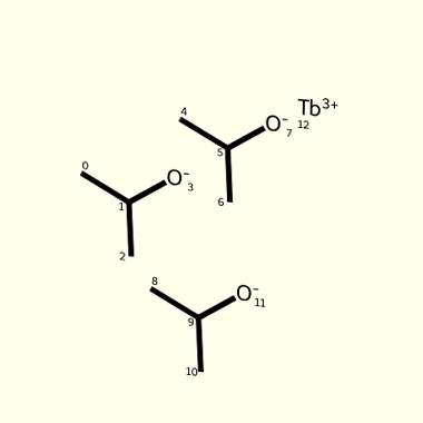 CC(C)[O-].CC(C)[O-].CC(C)[O-].[Tb+3]